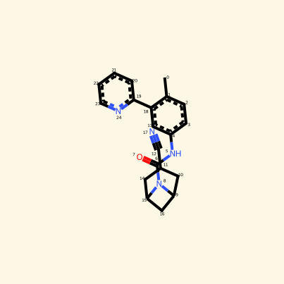 Cc1ccc(NC(=O)N2C3CC(C#N)CC2C3)cc1-c1ccccn1